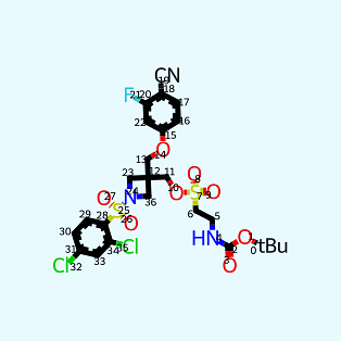 CC(C)(C)OC(=O)NCCS(=O)(=O)OCC1(COc2ccc(C#N)c(F)c2)CN(S(=O)(=O)c2ccc(Cl)cc2Cl)C1